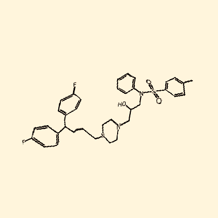 Cc1ccc(S(=O)(=O)N(CC(O)CN2CCN(CCCC(c3ccc(F)cc3)c3ccc(F)cc3)CC2)c2ccccc2)cc1